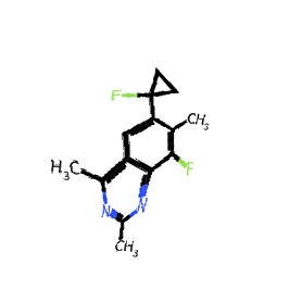 Cc1nc(C)c2cc(C3(F)CC3)c(C)c(F)c2n1